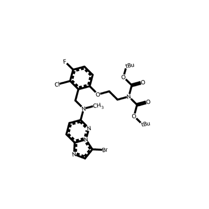 CN(Cc1c(OCCN(C(=O)OC(C)(C)C)C(=O)OC(C)(C)C)ccc(F)c1Cl)c1ccc2ncc(Br)n2n1